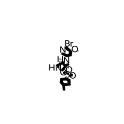 COc1cc(N2C[C@]3(OS(=O)(=O)c4ccc(C)cc4)CNC[C@@H]23)cnc1Br